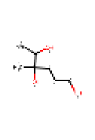 CCCCC(O)C(C)(O)CCCO